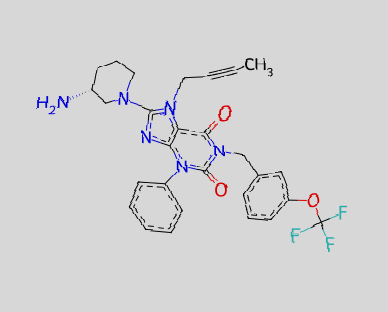 CC#CCn1c(N2CCC[C@@H](N)C2)nc2c1c(=O)n(Cc1cccc(OC(F)(F)F)c1)c(=O)n2-c1ccccc1